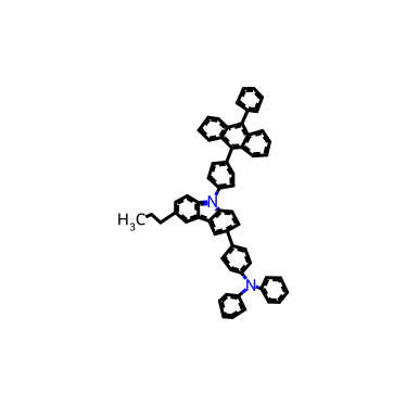 CCCc1ccc2c(c1)c1cc(-c3ccc(N(c4ccccc4)c4ccccc4)cc3)ccc1n2-c1ccc(-c2c3ccccc3c(-c3ccccc3)c3ccccc23)cc1